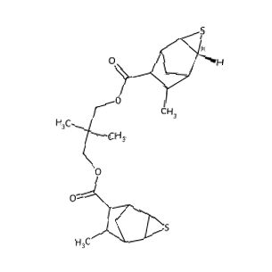 CC1C2CC(C3SC23)C1C(=O)OCC(C)(C)COC(=O)C1C(C)C2CC1C1S[C@H]21